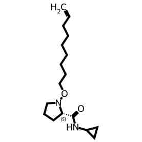 C=CCCCCCCCON1CCC[C@H]1C(=O)NC1CC1